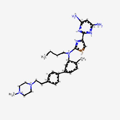 CCCCN(c1nc(-c2nc(N)cc(N)n2)cs1)c1cc(-c2ccc(CCN3CCN(C)CC3)cc2)ccc1C